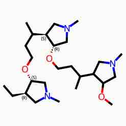 CC[C@@H]1CN(C)C[C@H]1OCCC(C)[C@H]1CN(C)C[C@@H]1OCCC(C)C1CN(C)CC1OC